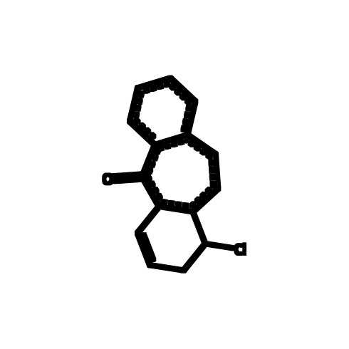 O=c1c2c(ccc3ccccc13)C(Cl)CC=C2